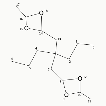 CCCC(CCC)(CC1OC(C)O1)CC1OC(C)O1